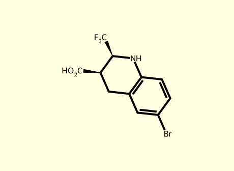 O=C(O)[C@@H]1Cc2cc(Br)ccc2N[C@@H]1C(F)(F)F